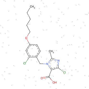 CCCCCOc1ccc(Cn2c(C)nc(Cl)c2C(=O)O)c(Cl)c1